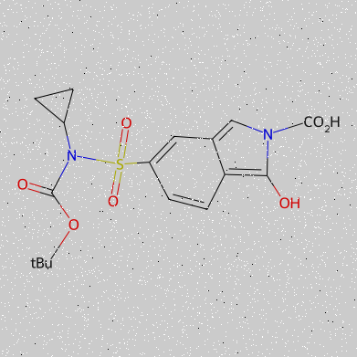 CC(C)(C)OC(=O)N(C1CC1)S(=O)(=O)c1ccc2c(O)n(C(=O)O)cc2c1